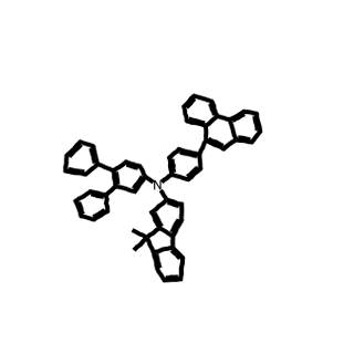 CC1(C)c2ccccc2-c2ccc(N(c3ccc(-c4cc5ccccc5c5ccccc45)cc3)c3ccc(-c4ccccc4)c(-c4ccccc4)c3)cc21